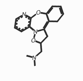 CN(C)CC1CC2=C3CC=CC=C3Oc3ncccc3N2O1